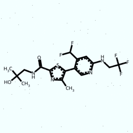 Cc1nc(C(=O)NCC(C)(C)O)sc1-c1cnc(NCC(F)(F)F)cc1C(F)F